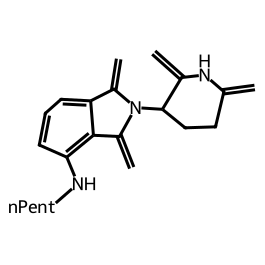 C=C1CCC(n2c(=C)c3cccc(NCCCCC)c3c2=C)C(=C)N1